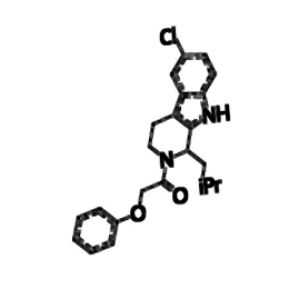 CC(C)CC1c2[nH]c3ccc(Cl)cc3c2CCN1C(=O)COc1ccccc1